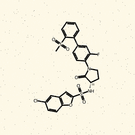 CS(=O)(=O)c1ccccc1-c1ccc(N2CC[C@H](NS(=O)(=O)c3cc4cc(Cl)ccc4o3)C2=O)c(F)c1